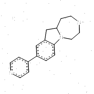 c1cc(-c2ccc3c(c2)CC2CCNCCN32)ccn1